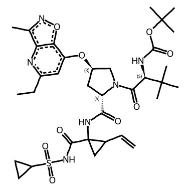 C=CC1CC1(NC(=O)[C@@H]1C[C@@H](Oc2cc(CC)nc3c(C)noc23)CN1C(=O)[C@@H](NC(=O)OC(C)(C)C)C(C)(C)C)C(=O)NS(=O)(=O)C1CC1